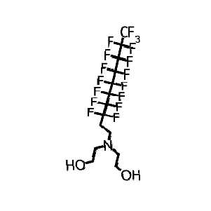 OCCN(CCO)CCC(F)(F)C(F)(F)C(F)(F)C(F)(F)C(F)(F)C(F)(F)C(F)(F)C(F)(F)F